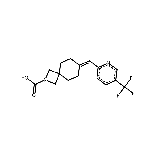 O=C(O)N1CC2(CCC(=Cc3ccc(C(F)(F)F)cn3)CC2)C1